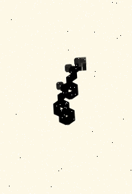 O=C(CCC1=CCCN(Cc2ccc3ccccc3c2)C1=O)NO